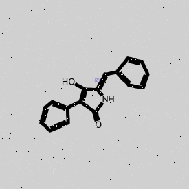 O=C1N/C(=C\c2ccccc2)C(O)=C1c1ccccc1